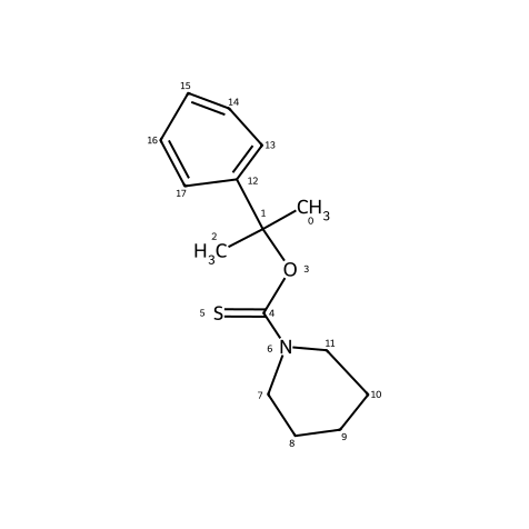 CC(C)(OC(=S)N1CCCCC1)c1ccccc1